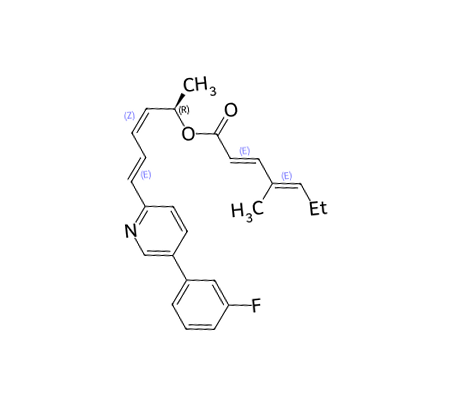 CC/C=C(C)/C=C/C(=O)O[C@H](C)/C=C\C=C\c1ccc(-c2cccc(F)c2)cn1